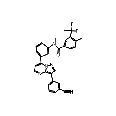 Cc1ccc(C(=O)Nc2cccc(-c3ccnc4c(-c5cccc(C#N)c5)cnn34)c2)cc1C(F)(F)F